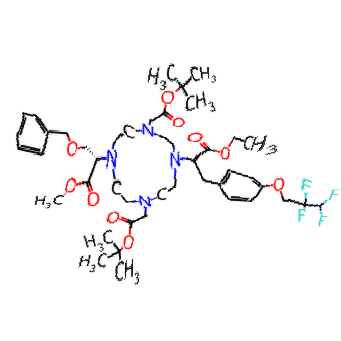 CCOC(=O)C(Cc1ccc(OCC(F)(F)C(F)F)cc1)N1CCN(CC(=O)OC(C)(C)C)CCN([C@@H](COCc2ccccc2)C(=O)OC)CCN(CC(=O)OC(C)(C)C)CC1